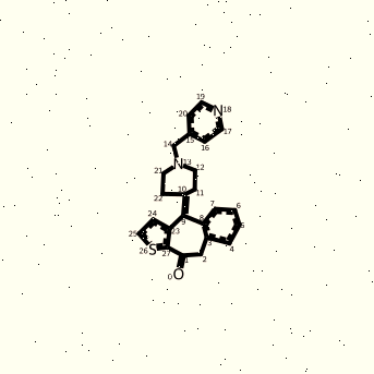 O=C1Cc2ccccc2C(=C2CCN(Cc3ccncc3)CC2)c2ccsc21